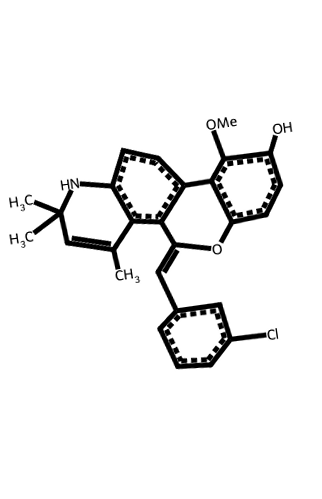 COc1c(O)ccc2c1-c1ccc3c(c1/C(=C/c1cccc(Cl)c1)O2)C(C)=CC(C)(C)N3